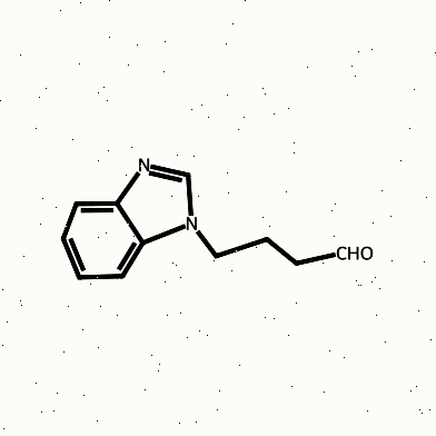 O=CCCCn1cnc2ccccc21